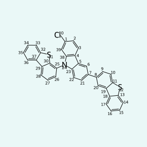 Clc1ccc2c3cc(-c4ccc5sc6ccccc6c5c4)ccc3n(-c3cccc4c3sc3ccccc34)c2c1